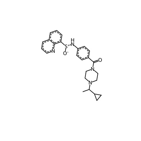 CC(C1CC1)N1CCN(C(=O)c2ccc(N[S+]([O-])c3cccc4cccnc34)cc2)CC1